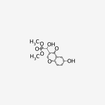 COP(=O)(OC)C(O)c1coc2ccc(O)cc2c1=O